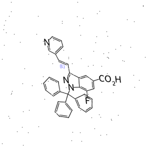 O=C(O)c1cc(F)c2c(c1)c(/C=C/c1cccnc1)nn2C(c1ccccc1)(c1ccccc1)c1ccccc1